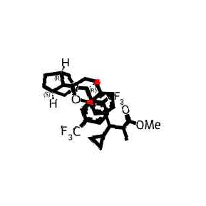 COC(=O)C(C)C(c1ccc2c(c1)OC(C1[C@@H]3CC[C@H]1CN([C@H](C)c1cc(C(F)(F)F)ccc1C(F)(F)F)C3)CC2)C1CC1